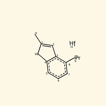 CC1=Cc2c(cccc2C(C)C)[CH]1.[Hf]